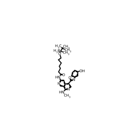 CNc1ncc(-c2nc3cc(O)ccc3o2)c2cc(NC(=O)CCCCCCO[Si](C)(C)C(C)(C)C)ncc12